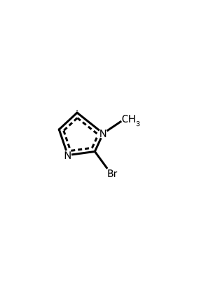 Cn1[c]cnc1Br